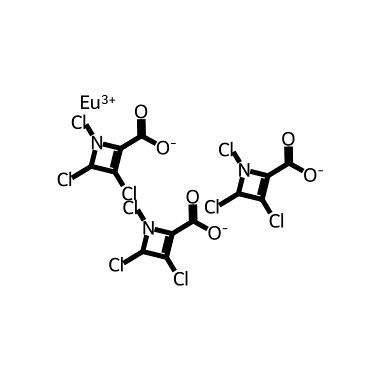 O=C([O-])C1=C(Cl)C(Cl)N1Cl.O=C([O-])C1=C(Cl)C(Cl)N1Cl.O=C([O-])C1=C(Cl)C(Cl)N1Cl.[Eu+3]